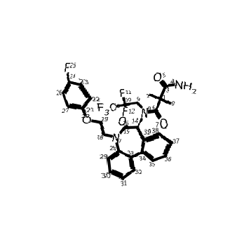 CC(C)(C(N)=O)C(=O)N(CC(F)(F)C(F)(F)F)[C@@H]1C(=O)N(CCOc2ccc(F)cc2)c2ccccc2-c2ccccc21